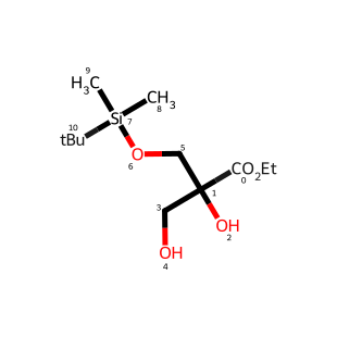 CCOC(=O)C(O)(CO)CO[Si](C)(C)C(C)(C)C